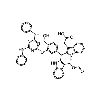 O=COCc1c(C(c2ccc(CO)c(Oc3nc(Nc4ccccc4)nc(Nc4ccccc4)n3)c2)c2[nH]c3ccccc3c2CC(=O)O)[nH]c2ccccc12